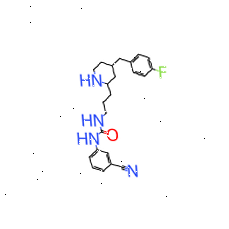 N#Cc1cccc(NC(=O)NCCCC2CC(Cc3ccc(F)cc3)CCN2)c1